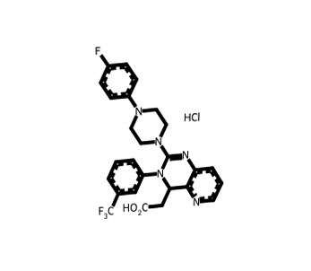 Cl.O=C(O)CC1c2ncccc2N=C(N2CCN(c3ccc(F)cc3)CC2)N1c1cccc(C(F)(F)F)c1